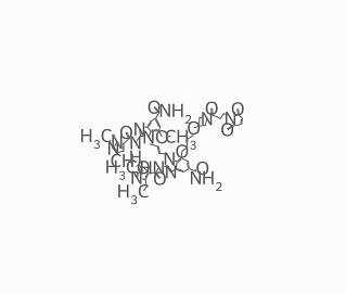 CCc1nc(C)oc1C(=O)Nc1nc2cc(C(N)=O)cc(OCCCOC3CN(C(=O)CCN4C(=O)C=CC4=O)C3)c2n1CC=CCn1c(NC(=O)c2cc(C)nn2CC)nc2cc(C(N)=O)cc(OC)c21